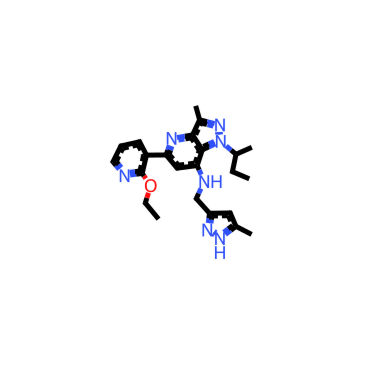 CCOc1ncccc1-c1cc(NCc2cc(C)[nH]n2)c2c(n1)c(C)nn2C(C)CC